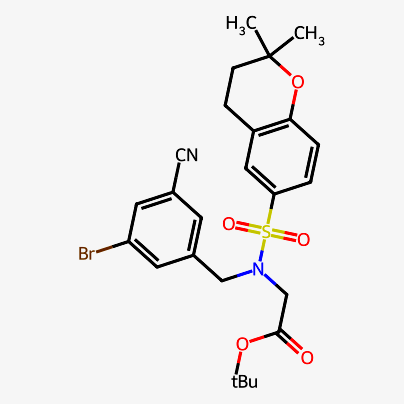 CC(C)(C)OC(=O)CN(Cc1cc(Br)cc(C#N)c1)S(=O)(=O)c1ccc2c(c1)CCC(C)(C)O2